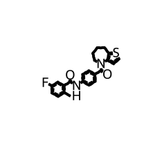 Cc1ccc(F)cc1C(=O)Nc1ccc(C(=O)N2CCCCc3sccc32)cc1